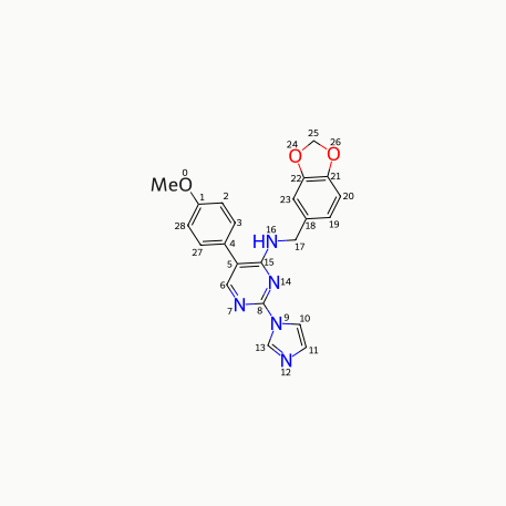 COc1ccc(-c2cnc(-n3ccnc3)nc2NCc2ccc3c(c2)OCO3)cc1